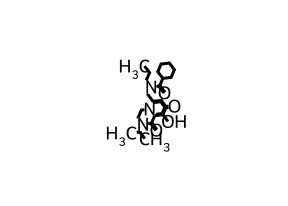 CCCN(Cc1cc(=O)c(O)c2n1CCN(C(C)C)C2=O)C(=O)C1CCCCC1